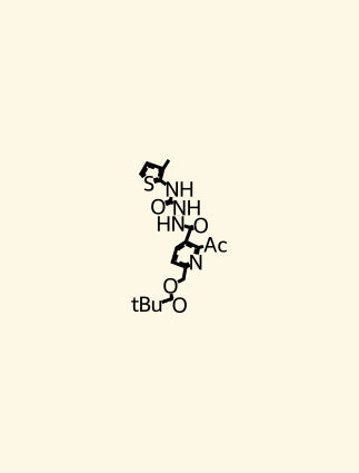 CC(=O)c1nc(COC(=O)C(C)(C)C)ccc1C(=O)NNC(=O)Nc1sccc1C